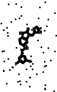 O=C1Nc2ccc(NCc3cc(F)cc(F)c3)cc2/C1=C/c1ncc[nH]1